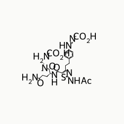 CC(=O)Nc1nc(CCc2ccc(NC=NC(=O)O)cc2)c(C(=O)N[C@@H](CCC(N)=O)C(=O)N(C)C)s1.NC(=O)O